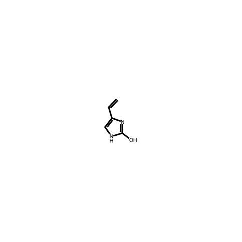 C=Cc1c[nH]c(O)n1